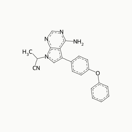 CC(C#N)n1cc(-c2ccc(Oc3ccccc3)cc2)c2c(N)ncnc21